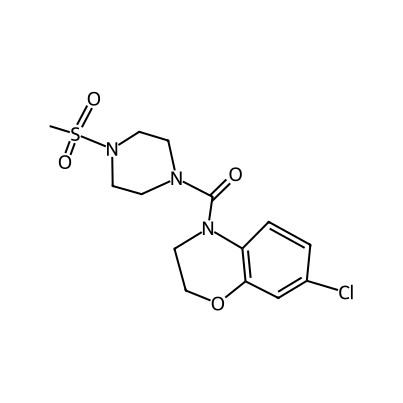 CS(=O)(=O)N1CCN(C(=O)N2CCOc3cc(Cl)ccc32)CC1